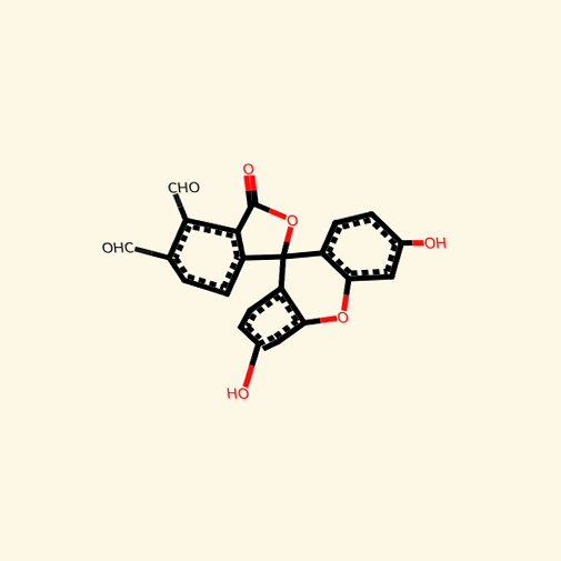 O=Cc1ccc2c(c1C=O)C(=O)OC21c2ccc(O)cc2Oc2cc(O)ccc21